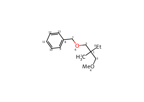 CCC(C)(COC)COCc1ccccc1